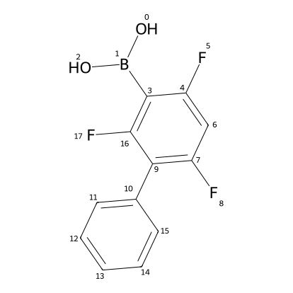 OB(O)c1c(F)cc(F)c(-c2ccccc2)c1F